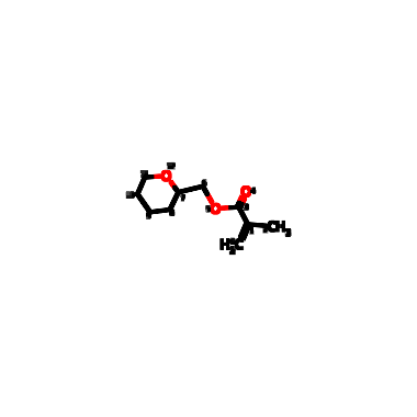 C=C(C)C(=O)OCC1CCCCO1